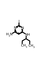 CCC(CC)Nc1cc(N)nc(I)n1